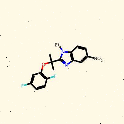 CCn1c(C(C)(C)Oc2cc(F)ccc2F)nc2cc([N+](=O)[O-])ccc21